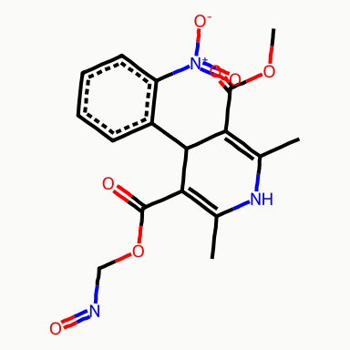 COC(=O)C1=C(C)NC(C)=C(C(=O)OCN=O)C1c1ccccc1[N+](=O)[O-]